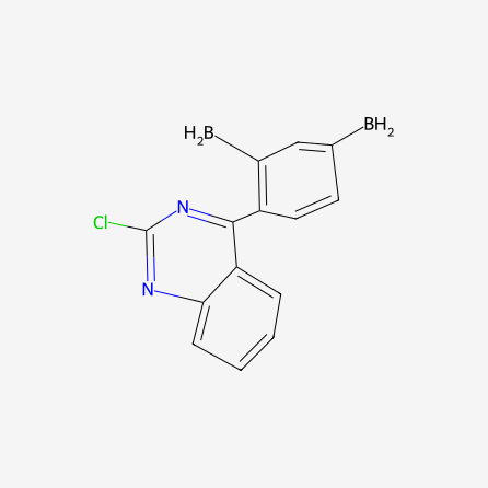 Bc1ccc(-c2nc(Cl)nc3ccccc23)c(B)c1